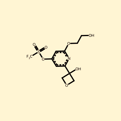 O=S(=O)(Oc1cc(OCCO)nc(C2(O)COC2)c1)C(F)(F)F